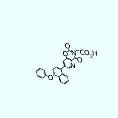 O=C(O)Cn1c(=O)oc2cc(-c3ccc(Oc4ccccc4)c4ccccc34)cnc2c1=O